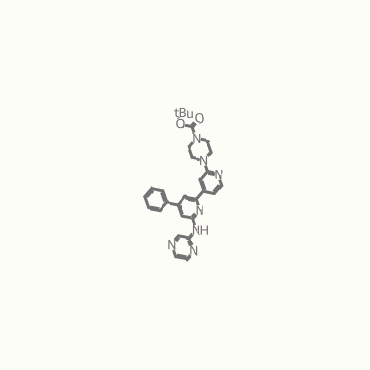 CC(C)(C)OC(=O)N1CCN(c2cc(-c3cc(-c4ccccc4)cc(Nc4cnccn4)n3)ccn2)CC1